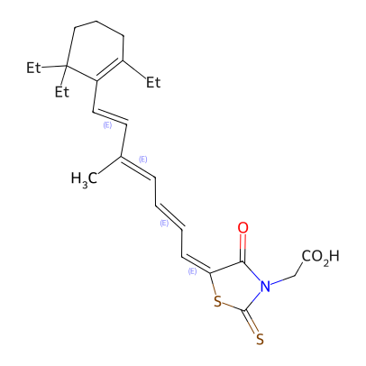 CCC1=C(/C=C/C(C)=C/C=C/C=C2/SC(=S)N(CC(=O)O)C2=O)C(CC)(CC)CCC1